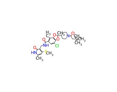 CSc1cc(C)[nH]c(=O)c1CNC(=O)c1cc(Cl)c2c(c1C)OC(C)(C1CCN(C(=O)C[Si](C)(C)C)CC1)O2